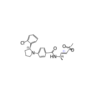 C[C@H](/C=C/S(C)(=O)=O)NC(=O)c1ccc(N2CCC[C@H]2c2ccccc2Cl)cc1